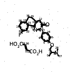 CC(COc1ccc(-n2nc3c(cc2=O)CCc2ccc(F)cc2-3)cc1)N(C)C.O=C(O)C=CC(=O)O